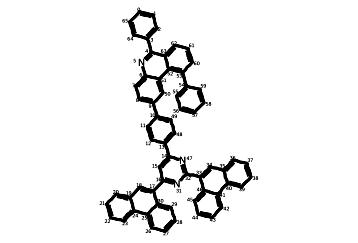 c1ccc(-c2nc3ccc(-c4ccc(-c5cc(-c6cc7ccccc7c7ccccc67)nc(-c6cc7ccccc7c7ccccc67)n5)cc4)cc3c3c(-c4ccccc4)cccc23)cc1